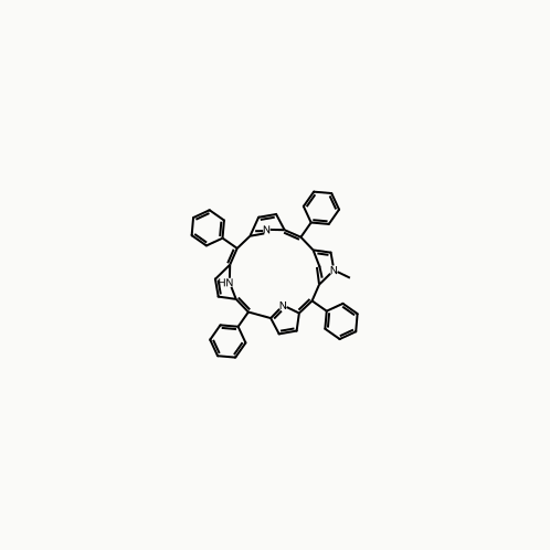 Cn1cc2cc1/C(c1ccccc1)=C1/C=CC(=N1)/C(c1ccccc1)=c1/cc/c([nH]1)=C(\c1ccccc1)C1=N/C(=C\2c2ccccc2)C=C1